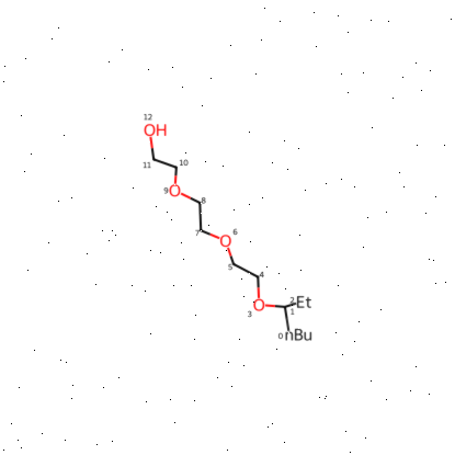 CCCCC(CC)OCCOCCOCCO